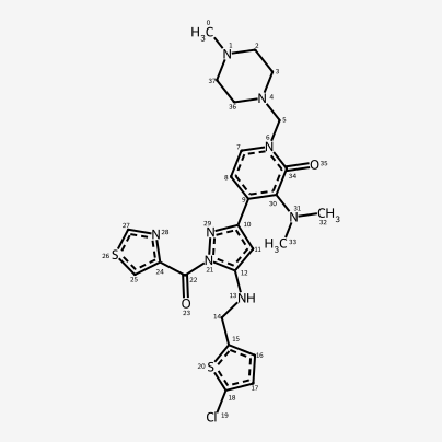 CN1CCN(Cn2ccc(-c3cc(NCc4ccc(Cl)s4)n(C(=O)c4cscn4)n3)c(N(C)C)c2=O)CC1